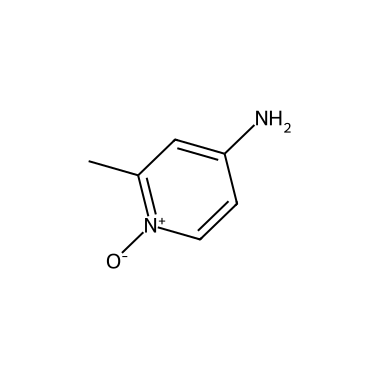 Cc1cc(N)cc[n+]1[O-]